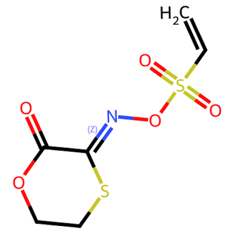 C=CS(=O)(=O)O/N=C1\SCCOC1=O